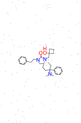 CN(C)[C@]1(c2ccccc2)CC[C@]2(CC1)CN(CCc1ccccc1)C(=O)N2CC1(O)CCC1